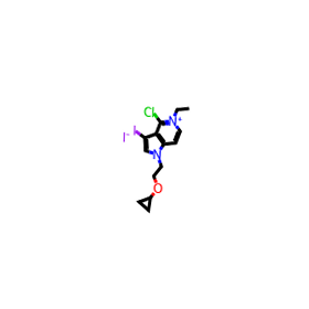 CC[n+]1ccc2c(c(I)cn2CCOC2CC2)c1Cl.[I-]